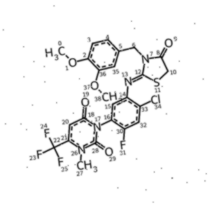 COc1ccc(CN2C(=O)CS/C2=N\c2cc(-n3c(=O)cc(C(F)(F)F)n(C)c3=O)c(F)cc2Cl)cc1OC